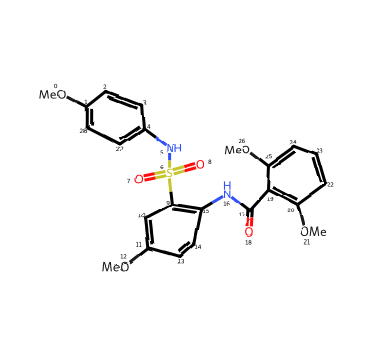 COc1ccc(NS(=O)(=O)c2cc(OC)ccc2NC(=O)c2c(OC)cccc2OC)cc1